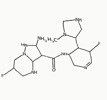 CN1CNCC1C1C(F)C=NCC1NC(=O)C1C(N)NN2CC(F)CNC12